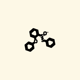 [O-][S+](Sc1ccccc1)c1ccccc1Oc1ccccc1